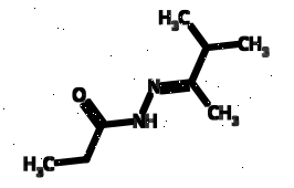 CCC(=O)N/N=C(\C)C(C)C